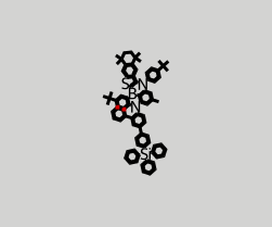 Cc1cc2c3c(c1)N(c1ccc(C(C)(C)C)cc1)c1c(sc4cc5c(cc14)C(C)(C)CCC5(C)C)B3c1cc(C(C)(C)C)ccc1N2c1ccc(-c2ccc([Si](c3ccccc3)(c3ccccc3)c3ccccc3)cc2)cc1-c1ccccc1